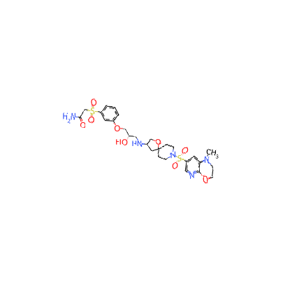 CN1CCOc2ncc(S(=O)(=O)N3CCC4(CC3)C[C@@H](NC[C@H](O)COc3cccc(S(=O)(=O)CC(N)=O)c3)CO4)cc21